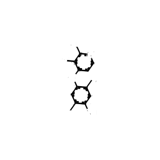 Cc1cc(Oc2ccnc(Cl)c2Br)c(C)cc1N